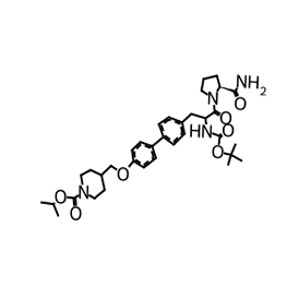 CC(C)OC(=O)N1CCC(COc2ccc(-c3ccc(CC(NC(=O)OC(C)(C)C)C(=O)N4CCC[C@H]4C(N)=O)cc3)cc2)CC1